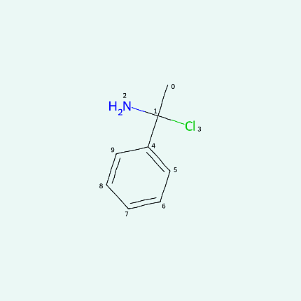 CC(N)(Cl)c1ccccc1